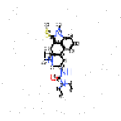 CCN(CC)C(=O)N[C@H]1CC2c3cccc4c3c(c(SC)n4C)C[C@H]2N(C)C1